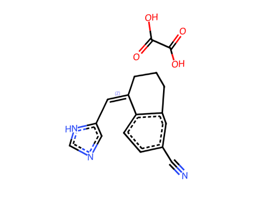 N#Cc1ccc2c(c1)CCC/C2=C/c1cnc[nH]1.O=C(O)C(=O)O